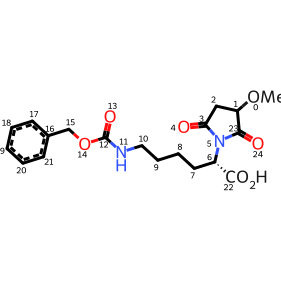 COC1CC(=O)N([C@@H](CCCCNC(=O)OCc2ccccc2)C(=O)O)C1=O